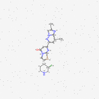 Cc1cn2nc(-c3cc(=O)n4cc([C@H]5CCNC[C@@H]5F)sc4n3)cc(C)c2n1